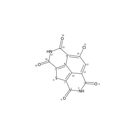 O=C1NC(=O)c2sc3c4c(c(Cl)cc1c24)C(=O)NC3=O